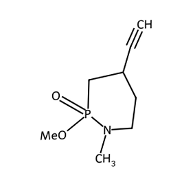 C#CC1CCN(C)P(=O)(OC)C1